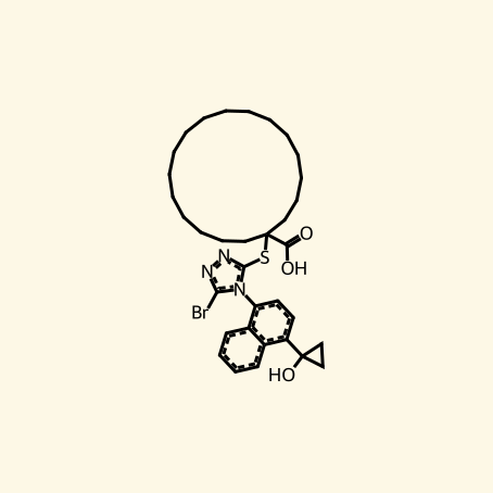 O=C(O)C1(Sc2nnc(Br)n2-c2ccc(C3(O)CC3)c3ccccc23)CCCCCCCCCCCCCCCCC1